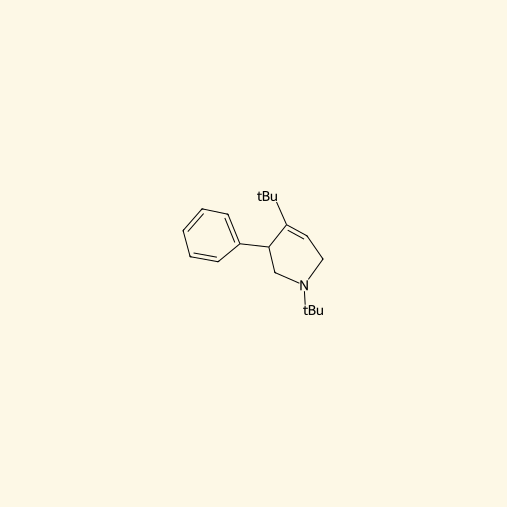 CC(C)(C)C1=CCN(C(C)(C)C)CC1c1ccccc1